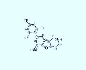 CCCCc1cc(-c2c(F)cc(Cl)cc2F)cc2c1OC1CCNCC21